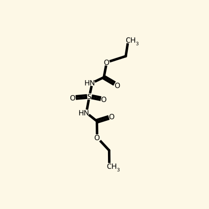 CCOC(=O)NS(=O)(=O)NC(=O)OCC